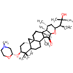 CC(=O)O[C@@H](C1C[C@@H](C)[C@H]2C(O1)C(=O)[C@@]1(C)C3CC[C@H]4C(C)(C)[C@@H](O[C@H]5CN(C)CCO5)CC[C@@]45C[C@@]35CC[C@]21C)C(C)(C)O